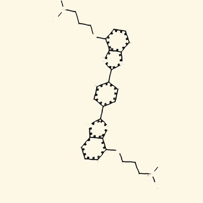 CN(C)CCCOc1cccc2nc(-c3ccc(-c4nc5cccc(OCCCN(C)C)c5[nH]4)cc3)[nH]c12